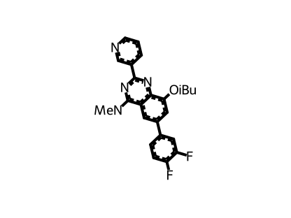 CNc1nc(-c2cccnc2)nc2c(OCC(C)C)cc(-c3ccc(F)c(F)c3)cc12